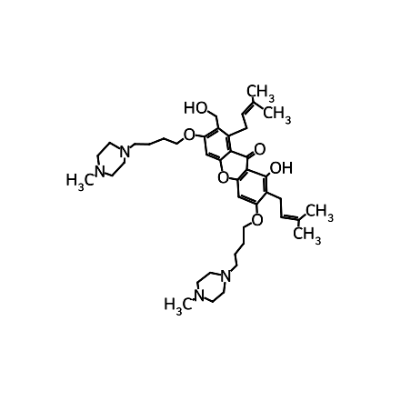 CC(C)=CCc1c(OCCCCN2CCN(C)CC2)cc2oc3cc(OCCCCN4CCN(C)CC4)c(CO)c(CC=C(C)C)c3c(=O)c2c1O